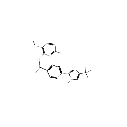 CNc1cnc(Cl)nc1NC(C)c1ccc(-c2nc(C(F)(F)F)cn2C)cc1